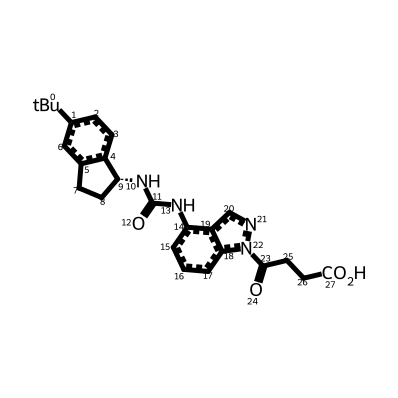 CC(C)(C)c1ccc2c(c1)CC[C@H]2NC(=O)Nc1cccc2c1cnn2C(=O)CCC(=O)O